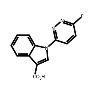 O=C(O)c1cn(-c2ccc(F)nn2)c2ccccc12